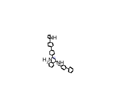 N/C(=C\C(NCc1ccc(-c2ccccc2)cc1)c1ccccc1)C1=CC=C(c2ccc(-c3ccc[nH]3)cc2)CC1